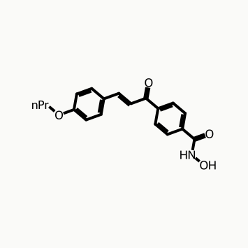 CCCOc1ccc(C=CC(=O)c2ccc(C(=O)NO)cc2)cc1